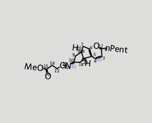 CCCCCC(=O)/C=C\C1=CC[C@@H]2C/C(=N\OCCC(=O)OC)C[C@@H]12